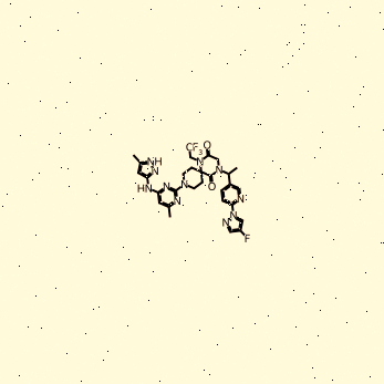 Cc1cc(Nc2cc(C)[nH]n2)nc(N2CCC3(CC2)C(=O)N(C(C)c2ccc(-n4cc(F)cn4)nc2)CC(=O)N3CC(F)(F)F)n1